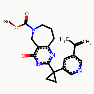 C=C(C)c1cncc(C2(c3nc4c(c(=O)[nH]3)CN(C(=O)OC(C)(C)C)CCC4)CC2)c1